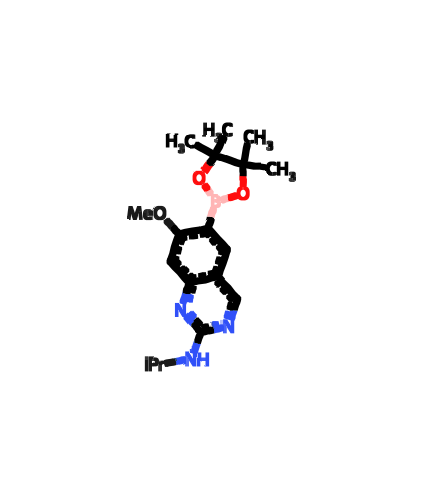 COc1cc2nc(NC(C)C)ncc2cc1B1OC(C)(C)C(C)(C)O1